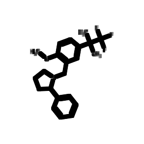 COc1ccc(C(C)(C)C(F)(F)F)cc1CN1CC[CH]C1c1ccccc1